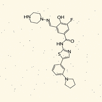 O=C(Nc1ncc(-c2cccc(N3CCCC3)c2)s1)c1cc(F)c(O)c(/C=N/N2CCNCC2)c1